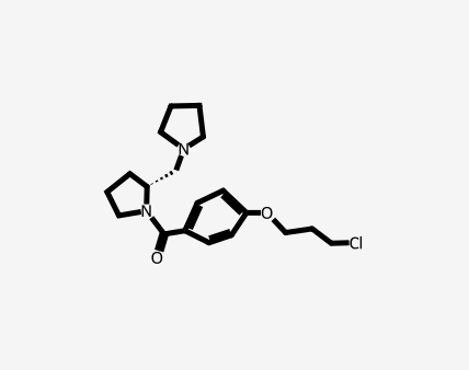 O=C(c1ccc(OCCCCl)cc1)N1CCC[C@@H]1CN1CCCC1